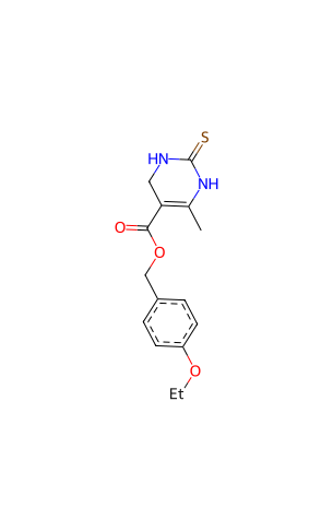 CCOc1ccc(COC(=O)C2=C(C)NC(=S)NC2)cc1